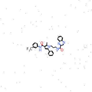 Cc1c(C(=O)Nc2cccc(C(F)(F)F)c2)cc(-c2ccccc2)n1CCCN(C)C(=O)c1cnc2ccccc2n1